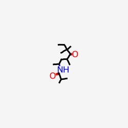 CCC(C)(C)C(=O)C(C)CC(C)NC(=O)C(C)C